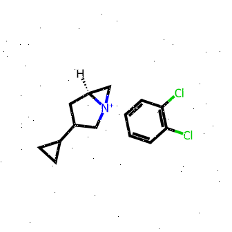 Clc1ccc([N@@+]23CC(C4CC4)C[C@H]2C3)cc1Cl